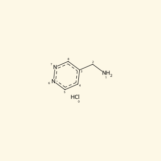 Cl.NCc1ccnnc1